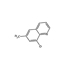 Cc1cc([O])c2ncccc2c1